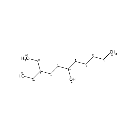 CCCCCC(O)CCC(CC)CC